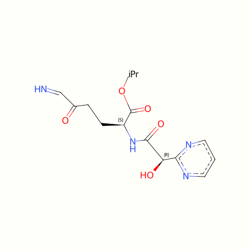 CC(C)OC(=O)[C@H](CCC(=O)C=N)NC(=O)[C@H](O)c1ncccn1